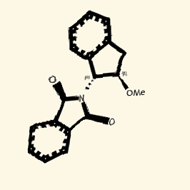 CO[C@@H]1Cc2ccccc2[C@H]1N1C(=O)c2ccccc2C1=O